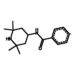 CC1(C)CC(NC(=O)c2cc[c]cc2)CC(C)(C)N1